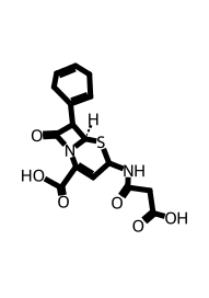 O=C(O)CC(=O)NC1C=C(C(=O)O)N2C(=O)C(C3=CCC=CC3)[C@H]2S1